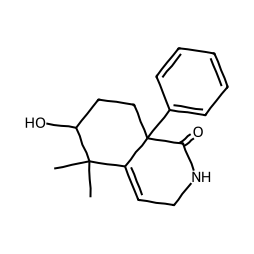 CC1(C)C2=CCNC(=O)C2(c2ccccc2)CCC1O